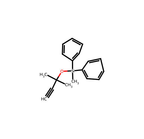 C#CC(C)(C)O[Si](C)(c1ccccc1)c1ccccc1